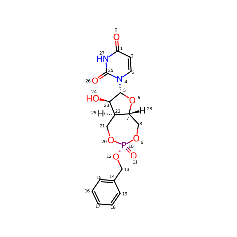 O=c1ccn([C@@H]2O[C@@H]3CO[P@](=O)(OCc4ccccc4)OC[C@H]3[C@H]2O)c(=O)[nH]1